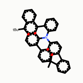 CC(C)(C)c1ccc(-c2ccccc2N(c2ccc3c(c2)C(C)(C)c2ccccc2-3)c2ccccc2-c2ccccc2)c2ccccc12